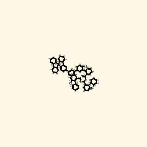 c1cc(-c2ccc3c(c2)-c2ccccc2C32c3ccccc3-c3ccccc32)cc(-c2ccc3oc4cccc(-c5nc(-c6cccc7oc8ccccc8c67)nc(-c6cccc7oc8ccccc8c67)n5)c4c3c2)c1